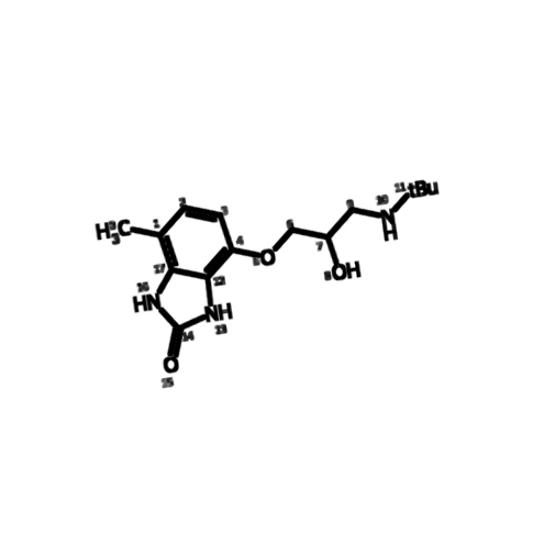 Cc1ccc(OCC(O)CNC(C)(C)C)c2[nH]c(=O)[nH]c12